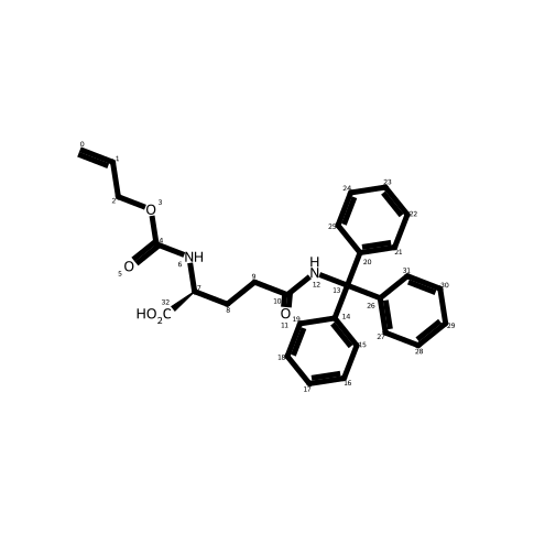 C=CCOC(=O)N[C@@H](CCC(=O)NC(c1ccccc1)(c1ccccc1)c1ccccc1)C(=O)O